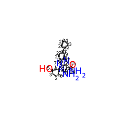 Cc1ccc(O)c(C)c1-n1c(N)c(C(N)=O)c2nc3cc(-c4ccccc4)ccc3nc21